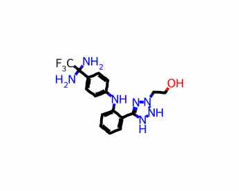 NC(N)(c1ccc(Nc2ccccc2C2=NN(CCO)NN2)cc1)C(F)(F)F